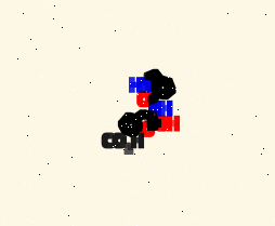 O=C(O)c1cccc2c1OB(O)[C@@H](NC(=O)c1cccc3cc[nH]c13)C2